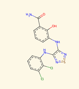 NC(=O)c1cccc(Nc2nsnc2Nc2cccc(Cl)c2Cl)c1O